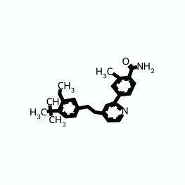 CCc1cc(CCc2ccnc(-c3ccc(C(N)=O)c(C)c3)c2)ccc1C(C)(C)C